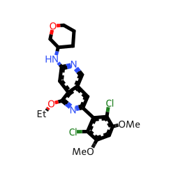 CCOc1nc(-c2c(Cl)c(OC)cc(OC)c2Cl)cc2cnc(NC3CCCOC3)cc12